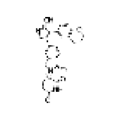 Cn1ncc(-c2ccc3c(c2)CN([C@H]2CCC(=O)NC2=O)C3=O)c1-c1ccc2c(c1)CCCO2